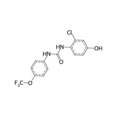 O=C(Nc1ccc(OC(F)(F)F)cc1)Nc1ccc(O)cc1Cl